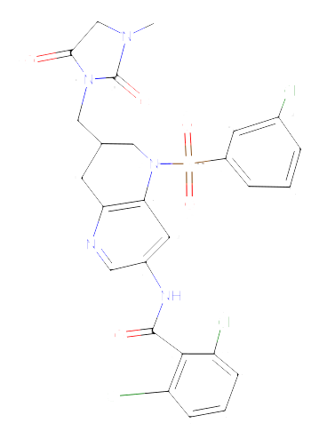 CN1CC(=O)N(CC2Cc3ncc(NC(=O)c4c(Cl)cccc4Cl)cc3N(S(=O)(=O)c3cccc(Cl)c3)C2)C1=O